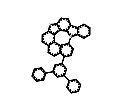 c1ccc(-c2cc(-c3ccccc3)cc(-c3ccc(-n4c5ccccc5c5ccc6oc7ccc8ccccc8c7c6c54)cc3)c2)cc1